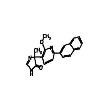 COc1nc(-c2ccc3ccccc3c2)ccc1C1(C)N=CNC1=O